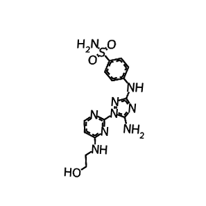 Nc1nc(Nc2ccc(S(N)(=O)=O)cc2)nn1-c1nccc(NCCO)n1